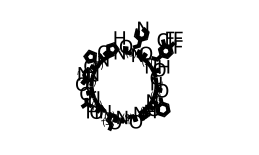 CC[C@H](C)[C@@H]1NC(=O)[C@H](CC(C)C)N(C)C(=O)C[C@@H](C(=O)N(C)C)N(C)C(=O)[C@H](C2CCCC2)N(C)C(=O)C2(CCCC2)NC(=O)[C@H](CCc2ccncc2)N(C)C(=O)[C@H](CCc2ccc(C(F)(F)F)c(Cl)c2)NC(=O)CN(C)C(=O)[C@H](CC2CCCCC2)N(C)C(=O)[C@@H]2CCN2C(=O)[C@H](C)N(C)C1=O